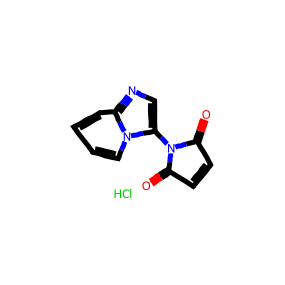 Cl.O=C1C=CC(=O)N1c1cnc2ccccn12